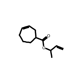 C=CC(C)OC(=O)C1CC=CCCC1